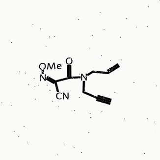 C#CCN(CC=C)C(=O)/C(C#N)=N\OC